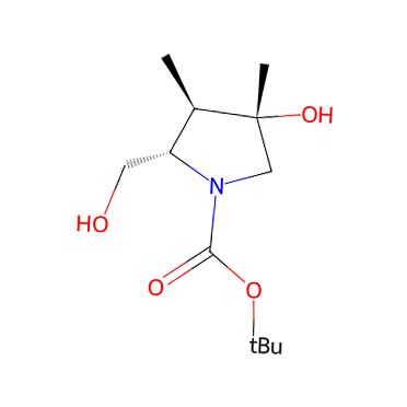 C[C@@H]1[C@@H](CO)N(C(=O)OC(C)(C)C)C[C@@]1(C)O